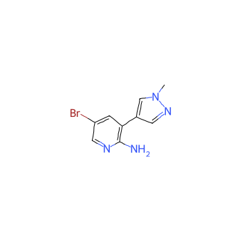 Cn1cc(-c2cc(Br)cnc2N)cn1